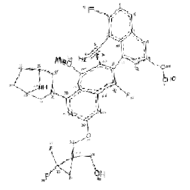 C#Cc1c(F)ccc2cc(OC=O)cc(-c3c(F)c(OC)c4c(N5CC6CCC(C5)N6)nc(OCC5(CO)CC5(F)F)nc4c3F)c12